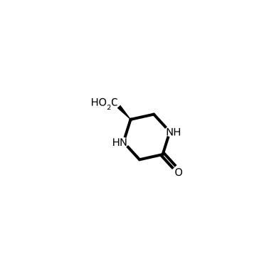 O=C1CN[C@@H](C(=O)O)CN1